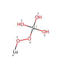 O[Si](O)(O)O[O][Lu]